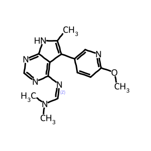 COc1ccc(-c2c(C)[nH]c3ncnc(/N=C\N(C)C)c23)cn1